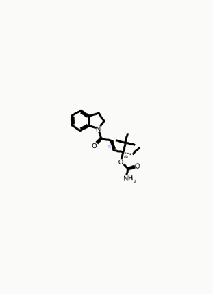 CC[C@@](/C=C/C(=O)N1CCc2ccccc21)(OC(N)=O)C(C)(C)C